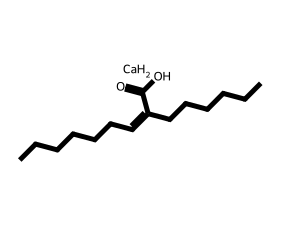 CCCCCCC=C(CCCCCC)C(=O)O.[CaH2]